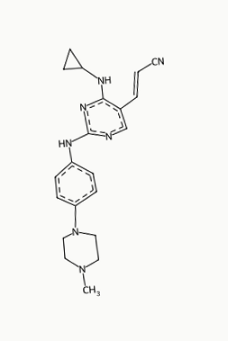 CN1CCN(c2ccc(Nc3ncc(/C=C/C#N)c(NC4CC4)n3)cc2)CC1